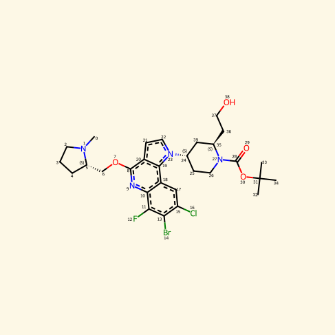 CN1CCC[C@H]1COc1nc2c(F)c(Br)c(Cl)cc2c2c1ccn2[C@H]1CCN(C(=O)OC(C)(C)C)[C@H](CCO)C1